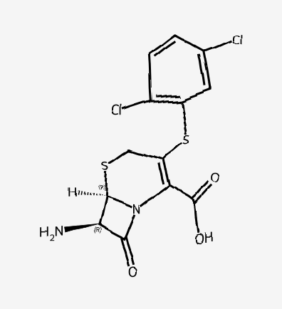 N[C@@H]1C(=O)N2C(C(=O)O)=C(Sc3cc(Cl)ccc3Cl)CS[C@H]12